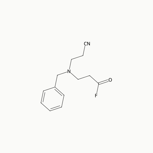 N#CCCN(CCC(=O)F)Cc1ccccc1